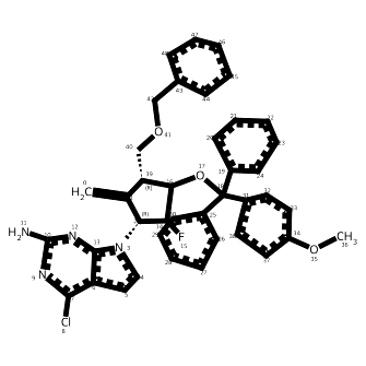 C=C1[C@@H](n2ccc3c(Cl)nc(N)nc32)C(F)C(OC(c2ccccc2)(c2ccccc2)c2ccc(OC)cc2)[C@H]1COCc1ccccc1